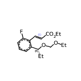 CCOCO[C@H](CC)c1cccc(F)c1/C=C/C(=O)OCC